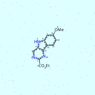 CCOC(=O)c1ncc2[nH]c3cc(OC)ccc3c2n1